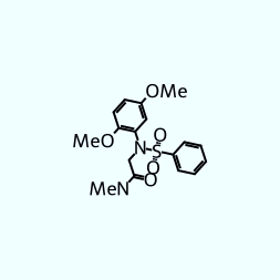 CNC(=O)CN(c1cc(OC)ccc1OC)S(=O)(=O)c1ccccc1